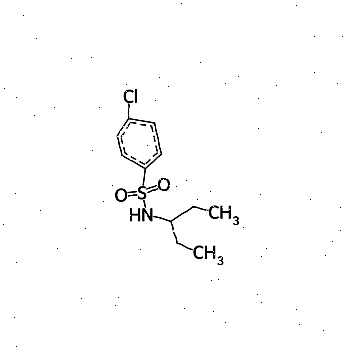 CCC(CC)NS(=O)(=O)c1ccc(Cl)cc1